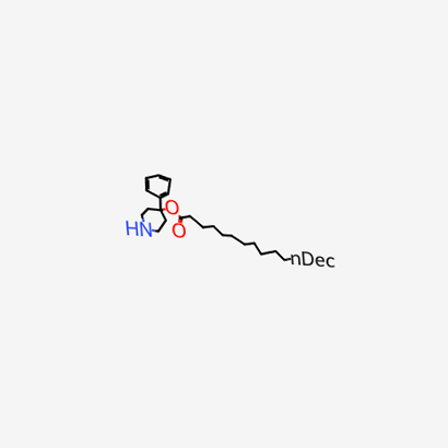 CCCCCCCCCCCCCCCCCCCCC(=O)OC1(c2ccccc2)CCNCC1